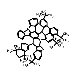 CC(C)(C)c1ccc(-c2cc(C(C)(C)C)ccc2N2c3ccc(C(C)(C)C)cc3B3c4sc5ccc(C(C)(C)C)cc5c4N(c4ccc5c(c4)C(C)(C)CCC5(C)C)c4c3c2c2c3ccccc3n3c5ccccc5c4c23)cc1